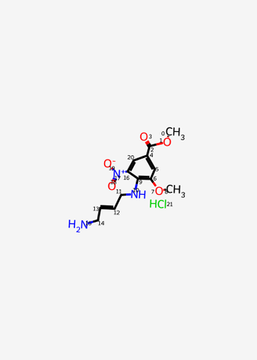 COC(=O)c1cc(OC)c(NC/C=C/CN)c([N+](=O)[O-])c1.Cl